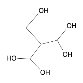 OCC(C(O)O)C(O)O